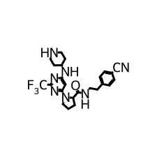 N#Cc1ccc(CCNC(=O)C2CCCN2c2cc(NC3CCNCC3)nc(C(F)(F)F)n2)cc1